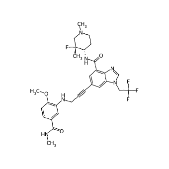 CNC(=O)c1ccc(OC)c(NCC#Cc2cc(C(=O)N[C@H]3CCN(C)C[C@@]3(C)F)c3ncn(CC(F)(F)F)c3c2)c1